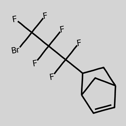 FC(F)(Br)C(F)(F)C(F)(F)C1CC2C=CC1C2